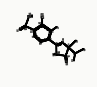 Cc1c(C2=NC(C)(C(C)C)C(=O)N2)ccc(C(=O)O)c1Cl